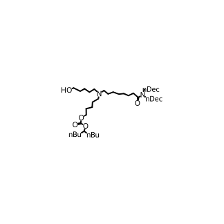 CCCCCCCCCCN(CCCCCCCCCC)C(=O)CCCCCCCN(CCCCCO)CCCCCOC(=O)OC(CCCC)CCCC